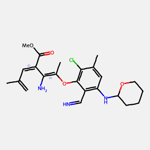 C=C(C)/C=C(C(=O)OC)\C(N)=C(/C)Oc1c(Cl)c(C)cc(NC2CCCCO2)c1C=N